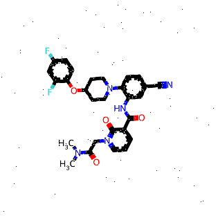 CN(C)C(=O)Cn1cccc(C(=O)Nc2cc(C#N)ccc2N2CCC(Oc3ccc(F)cc3F)CC2)c1=O